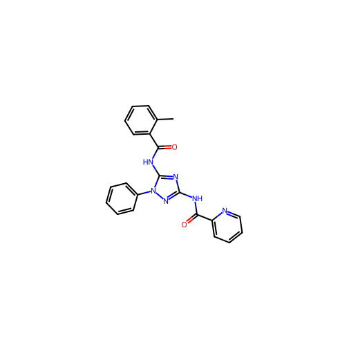 Cc1ccccc1C(=O)Nc1nc(NC(=O)c2ccccn2)nn1-c1ccccc1